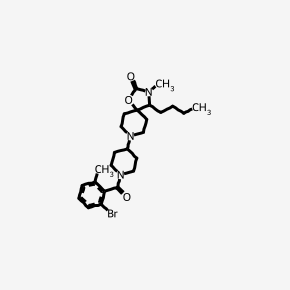 CCCCC1N(C)C(=O)OC12CCN(C1CCN(C(=O)c3c(C)cccc3Br)CC1)CC2